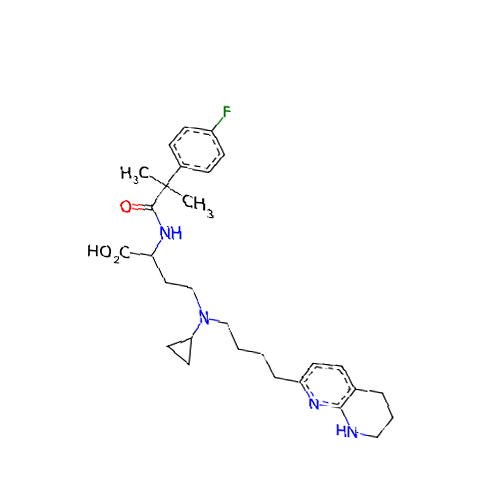 CC(C)(C(=O)NC(CCN(CCCCc1ccc2c(n1)NCCC2)C1CC1)C(=O)O)c1ccc(F)cc1